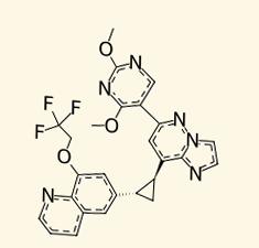 COc1ncc(-c2cc([C@H]3C[C@@H]3c3cc(OCC(F)(F)F)c4ncccc4c3)c3nccn3n2)c(OC)n1